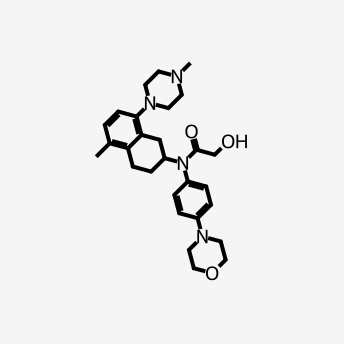 Cc1ccc(N2CCN(C)CC2)c2c1CCC(N(C(=O)CO)c1ccc(N3CCOCC3)cc1)C2